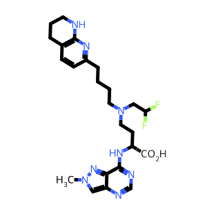 Cn1cc2ncnc(NC(CCN(CCCCc3ccc4c(n3)NCCC4)CC(F)F)C(=O)O)c2n1